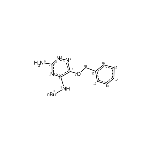 CCCCNc1nc(N)nnc1OCc1ccccc1